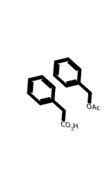 CC(=O)OCc1ccccc1.O=C(O)Cc1ccccc1